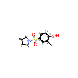 Cc1cc(S(=O)(=O)N2C[CH]CC2)ccc1O